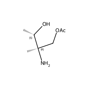 CC(=O)OC[C@@](C)(N)[C@H](C)O